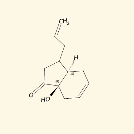 C=CCC1CC(=O)[C@@]2(O)CC=CC[C@H]12